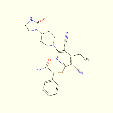 CCc1c(C#N)c(SC(C(N)=O)c2ccccc2)nc(N2CCC(N3CCNC3=O)CC2)c1C#N